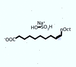 CCCCCCCC/C=C\CCCCCCCC(=O)[O-].O=S(=O)(O)O.[Na+]